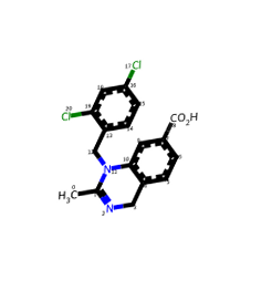 CC1=NCc2ccc(C(=O)O)cc2N1Cc1ccc(Cl)cc1Cl